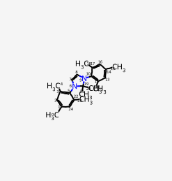 Cc1cc(C)c(N2C=CN(c3c(C)cc(C)cc3C)C2(C)C)c(C)c1